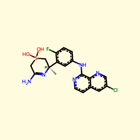 C[C@@]1(c2cc(Nc3nccc4cc(Cl)cnc34)ccc2F)CS(O)(O)CC(N)=N1